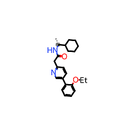 CCOc1ccccc1-c1ccc(CC(=O)N[C@H](C)C2CCCCC2)nc1